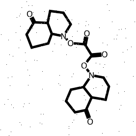 O=C(ON1CCCC2C(=O)CCCC21)C(=O)ON1CCCC2C(=O)CCCC21